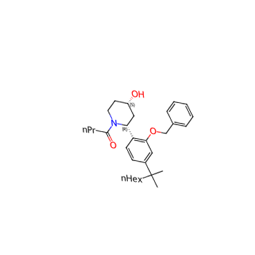 CCCCCCC(C)(C)c1ccc([C@H]2C[C@@H](O)CCN2C(=O)CCC)c(OCc2ccccc2)c1